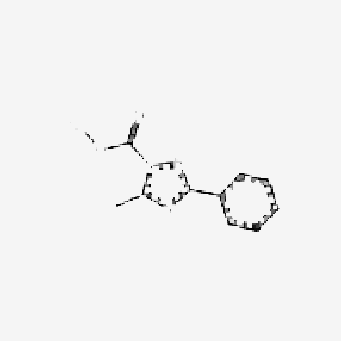 Cc1nc(-c2ccccc2)nn1C(=O)OC(C)(C)C